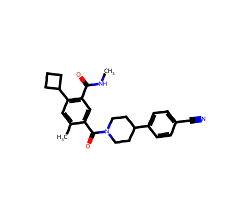 CNC(=O)c1cc(C(=O)N2CCC(c3ccc(C#N)cc3)CC2)c(C)cc1C1CCC1